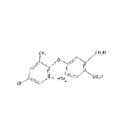 Cc1cc(Cl)cc(C)c1Oc1ccc(C(=O)O)c(C(=O)O)c1